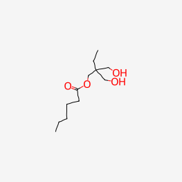 CCCCCC(=O)OCC(CC)(CO)CO